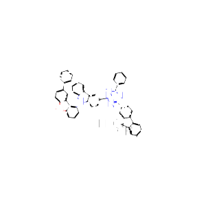 CC1(C)c2ccccc2-c2ccc(-c3nc(-c4ccccc4)nc(-c4ccc5c(c4)c4ccccc4n5-c4cccc5oc6ccc(-c7ccccc7)cc6c45)n3)cc21